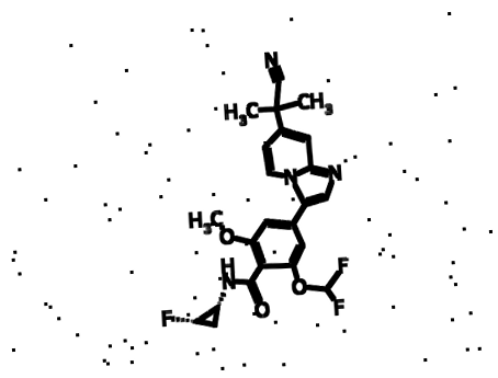 COc1cc(-c2cnc3cc(C(C)(C)C#N)ccn23)cc(OC(F)F)c1C(=O)N[C@@H]1C[C@@H]1F